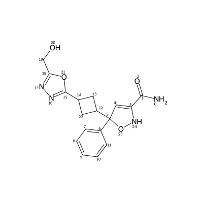 NC(=O)C1=CC(c2ccccc2)(C2CC(c3nnc(CO)o3)C2)ON1